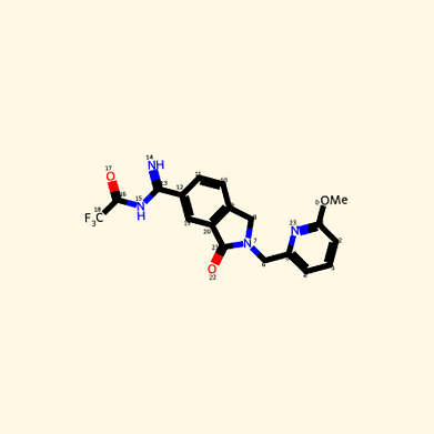 COc1cccc(CN2Cc3ccc(C(=N)NC(=O)C(F)(F)F)cc3C2=O)n1